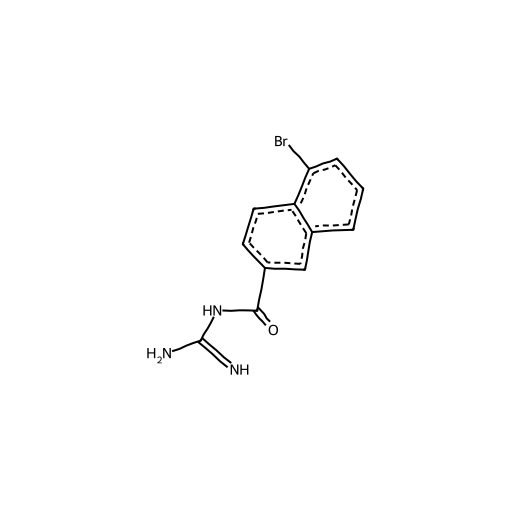 N=C(N)NC(=O)c1ccc2c(Br)cccc2c1